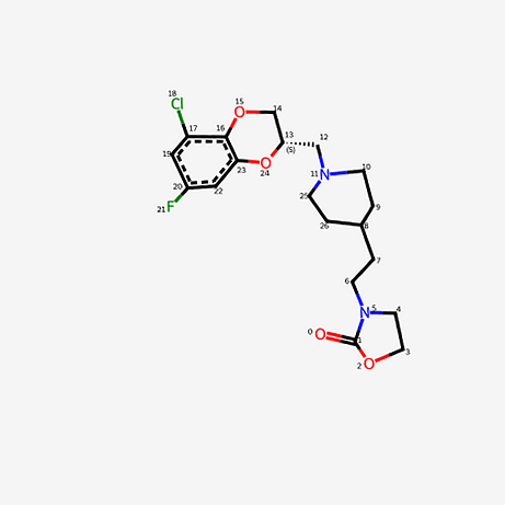 O=C1OCCN1CCC1CCN(C[C@H]2COc3c(Cl)cc(F)cc3O2)CC1